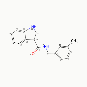 Cc1cccc(CNC(=O)C2CNc3ccccc32)c1